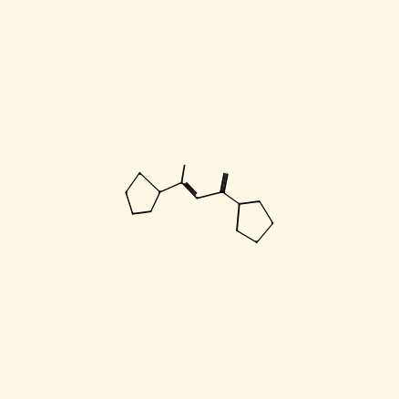 O=C(/C=C(\O)C1CCCC1)C1CCCC1